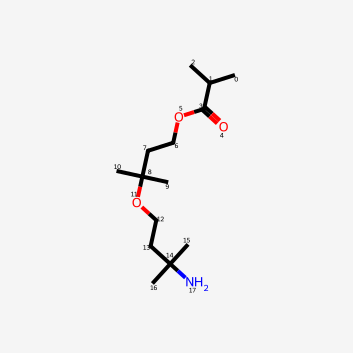 CC(C)C(=O)OCCC(C)(C)OCCC(C)(C)N